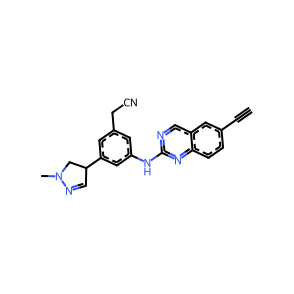 C#Cc1ccc2nc(Nc3cc(CC#N)cc(C4C=NN(C)C4)c3)ncc2c1